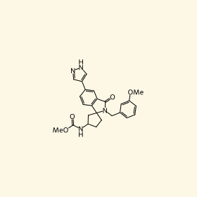 COC(=O)NC1CCC2(C1)c1ccc(-c3cn[nH]c3)cc1C(=O)N2Cc1cccc(OC)c1